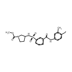 COC(=O)N1CCC(NS(=O)(=O)c2cccc(C(=O)Nc3ccc(F)c(C)c3)c2)C1